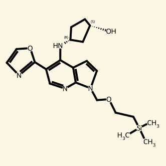 C[Si](C)(C)CCOCn1ccc2c(N[C@@H]3CC[C@H](O)C3)c(-c3ncco3)cnc21